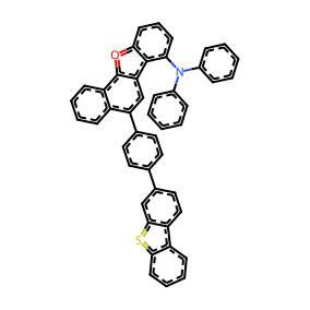 c1ccc(N(c2ccccc2)c2cccc3oc4c5ccccc5c(-c5ccc(-c6ccc7c(c6)sc6ccccc67)cc5)cc4c23)cc1